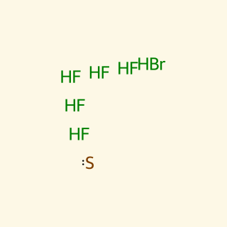 Br.F.F.F.F.F.[S]